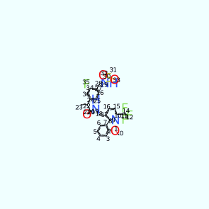 COc1ccccc1-c1nc(C(F)(F)F)ccc1CNC(=O)C(C)c1ccc(CNS(C)(=O)=O)c(F)c1